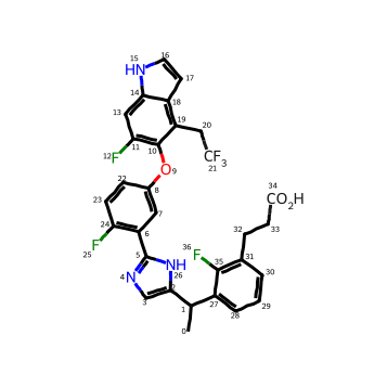 CC(c1cnc(-c2cc(Oc3c(F)cc4[nH]ccc4c3CC(F)(F)F)ccc2F)[nH]1)c1cccc(CCC(=O)O)c1F